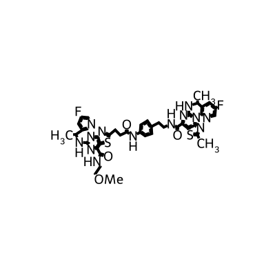 COCCNC(=O)c1nc(NC(C)c2cncc(F)c2)nc2nc(CCC(=O)Nc3ccc(CCNC(=O)c4nc(NC(C)c5cncc(F)c5)nc5nc(C)sc45)cc3)sc12